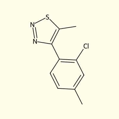 Cc1ccc(-c2nnsc2C)c(Cl)c1